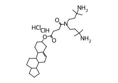 CC(C)(N)CCN(CCC(C)(C)N)C(=O)CCC(=O)OC1CCC2C(=CCC3C4CCCC4CCC23)C1.Cl.Cl